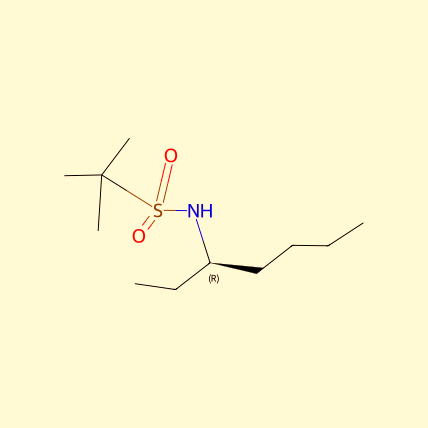 CCCC[C@@H](CC)NS(=O)(=O)C(C)(C)C